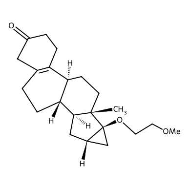 COCCO[C@@]12C[C@@H]1C[C@H]1[C@@H]3CCC4=C(CCC(=O)C4)[C@H]3CC[C@@]12C